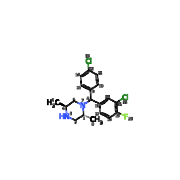 C[C@@H]1CN[C@@H](C)CN1C(c1ccc(Cl)cc1)c1ccc(F)c(Cl)c1